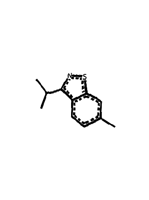 Cc1ccc2c(C(C)C)nsc2c1